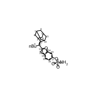 CCCCC(=C1C2CC3CC(C2)CC1C3)c1nc2ccc(OS(N)(=O)=O)cc2o1